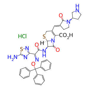 Cl.Nc1nc(C(=NOC(c2ccccc2)(c2ccccc2)c2ccccc2)C(=O)N[C@@H]2C(=O)N3C(C(=O)O)=C(C=C4CCN([C@@H]5CCNC5)C4=O)CS[C@H]23)ns1